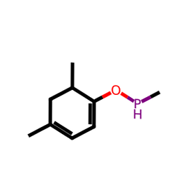 CPOC1=CC=C(C)CC1C